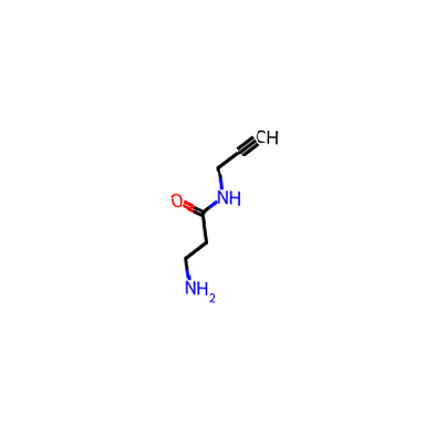 C#CCNC(=O)CCN